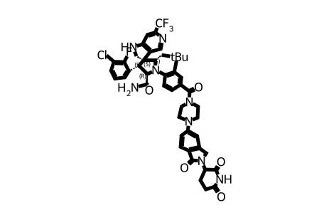 Cc1cc(C(=O)N2CCN(c3ccc4c(c3)CN(C3CCC(=O)NC3=O)C4=O)CC2)ccc1N1[C@@H](CC(C)(C)C)[C@@]2(CNc3cc(C(F)(F)F)ncc32)[C@@H](c2cccc(Cl)c2F)[C@@H]1C(N)=O